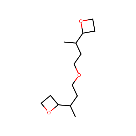 CC(CCOCCC(C)C1CCO1)C1CCO1